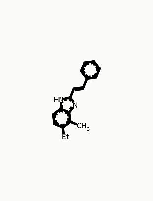 CCc1ccc2[nH]c(C=Cc3ccccc3)nc2c1C